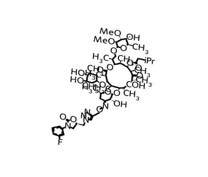 CO[C@@H]1[C@H](O)[C@@H](C)O[C@@H](OC[C@H](C)[C@H]2OC(=O)[C@H](C)[C@@H](O[C@@H]3C[C@@H](C)[C@H](O)[C@](C)(O)C3)[C@H](C)[C@@H](O[C@@H]3O[C@H](C)CC(=NOCc4cn(C[C@H]5CN(c6cccc(F)c6)C(=O)O5)nn4)[C@H]3O)[C@@H](C)C[C@](C)(O)C(=O)[C@H](C)[C@H](OC(=O)CC(C)C)[C@H]2C)[C@@H]1OC